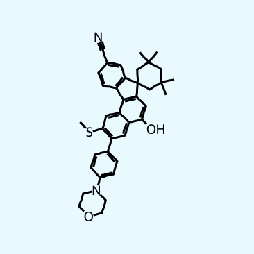 CSc1cc2c3c(cc(O)c2cc1-c1ccc(N2CCOCC2)cc1)C1(CC(C)(C)CC(C)(C)C1)c1cc(C#N)ccc1-3